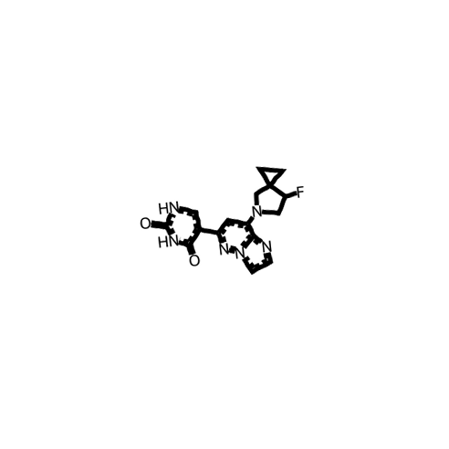 O=c1[nH]cc(-c2cc(N3CC(F)C4(CC4)C3)c3nccn3n2)c(=O)[nH]1